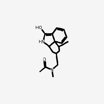 CC(=O)N(C)CC1CC(C)C23C=CC=CC2=C(O)NC3C1